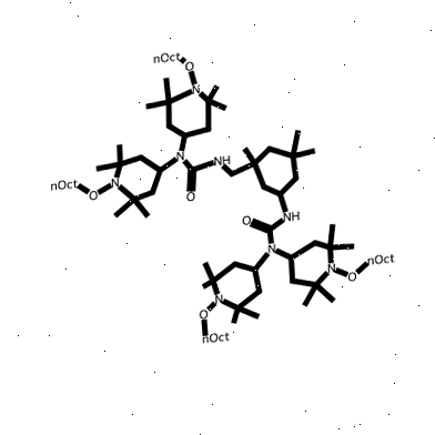 CCCCCCCCON1C(C)(C)CC(N(C(=O)NCC2(C)CC(NC(=O)N(C3CC(C)(C)N(OCCCCCCCC)C(C)(C)C3)C3CC(C)(C)N(OCCCCCCCC)C(C)(C)C3)CC(C)(C)C2)C2CC(C)(C)N(OCCCCCCCC)C(C)(C)C2)CC1(C)C